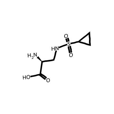 N[C@@H](CNS(=O)(=O)C1CC1)C(=O)O